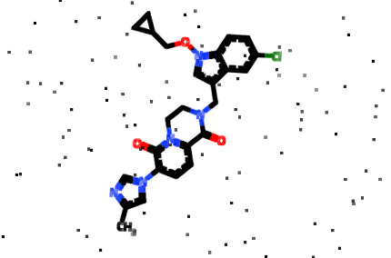 Cc1cn(-c2ccc3n(c2=O)CCN(Cc2cn(OCC4CC4)c4ccc(Cl)cc24)C3=O)cn1